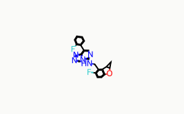 Fc1ccccc1-c1cnc(NCc2c(F)ccc3c2C2CC2O3)n2cnnc12